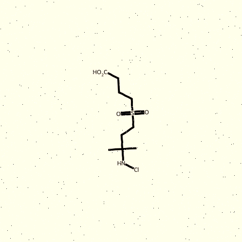 CC(C)(CCS(=O)(=O)CCCC(=O)O)NCl